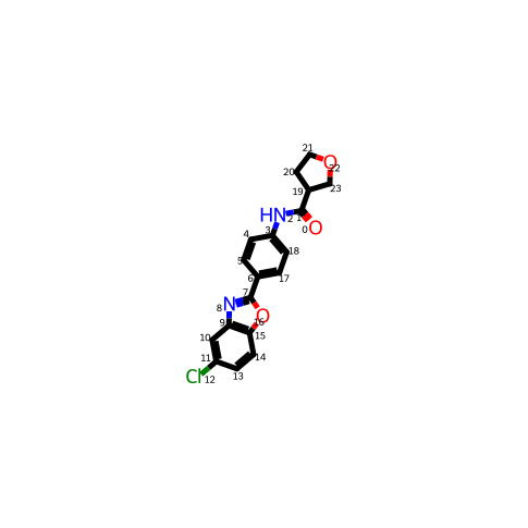 O=C(Nc1ccc(-c2nc3cc(Cl)ccc3o2)cc1)C1CCOC1